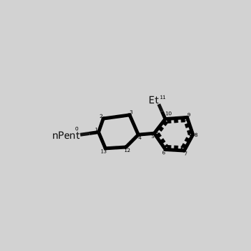 CCCCCC1CCC(c2ccccc2CC)CC1